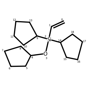 C=C[Si](OC1CCCC1)(C1CCCC1)C1CCCC1